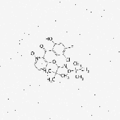 CC(C)(C)ON=C(Oc1ccc[n+]([O-])c1C(=O)c1cc(Cl)c(F)cc1O)C(C)(C)C